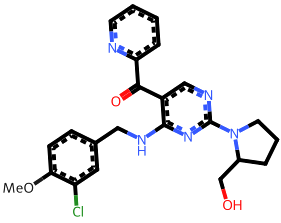 COc1ccc(CNc2nc(N3CCCC3CO)ncc2C(=O)c2ccccn2)cc1Cl